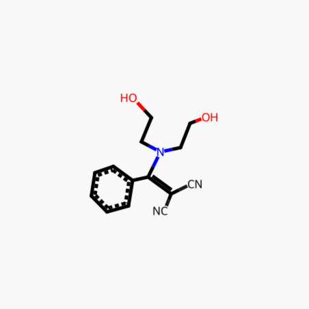 N#CC(C#N)=C(c1ccccc1)N(CCO)CCO